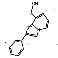 OCc1cccn2cc(-c3ccccc3)nc12